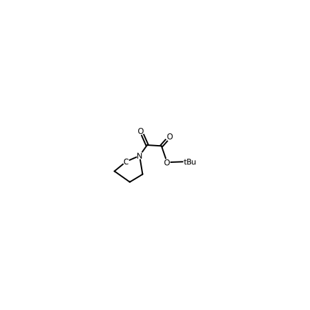 CC(C)(C)OC(=O)C(=O)N1CCCC1